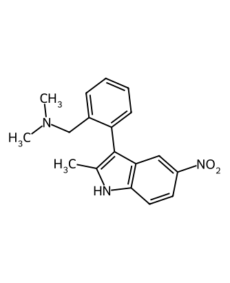 Cc1[nH]c2ccc([N+](=O)[O-])cc2c1-c1ccccc1CN(C)C